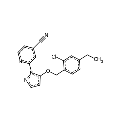 CCc1ccc(COc2ccnn2-c2cc(C#N)ccn2)c(Cl)c1